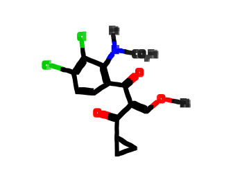 CCO/C=C(\C(=O)c1ccc(Cl)c(Cl)c1N(CC)C(=O)OCC)C(=O)C1CC1